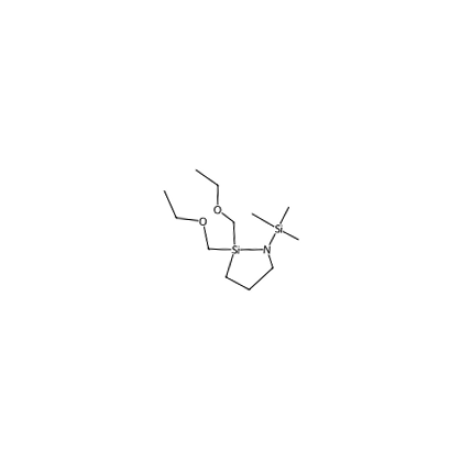 CCOC[Si]1(COCC)CCCN1[Si](C)(C)C